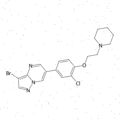 Clc1cc(-c2cnc3c(Br)cnn3c2)ccc1OCCN1CCCCC1